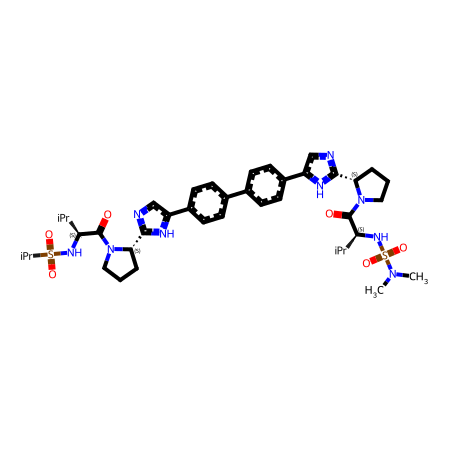 CC(C)[C@H](NS(=O)(=O)C(C)C)C(=O)N1CCC[C@H]1c1ncc(-c2ccc(-c3ccc(-c4cnc([C@@H]5CCCN5C(=O)[C@@H](NS(=O)(=O)N(C)C)C(C)C)[nH]4)cc3)cc2)[nH]1